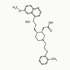 COc1ccc2nccc([C@@H](O)CC[C@@H]3CCN(CCSc4ccccc4C)C[C@@H]3CC(=O)O)c2c1